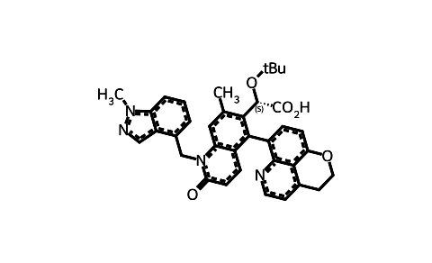 Cc1cc2c(ccc(=O)n2Cc2cccc3c2cnn3C)c(-c2ccc3c4c(ccnc24)CCO3)c1[C@H](OC(C)(C)C)C(=O)O